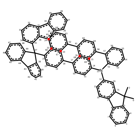 CC1(C)c2ccccc2-c2ccc(N(c3ccc(-c4ccc5c(c4)-n4c6ccccc6c6cccc(c64)C54c5ccccc5-c5ccccc54)cc3)c3ccccc3-c3ccc(-c4ccccc4)cc3)cc21